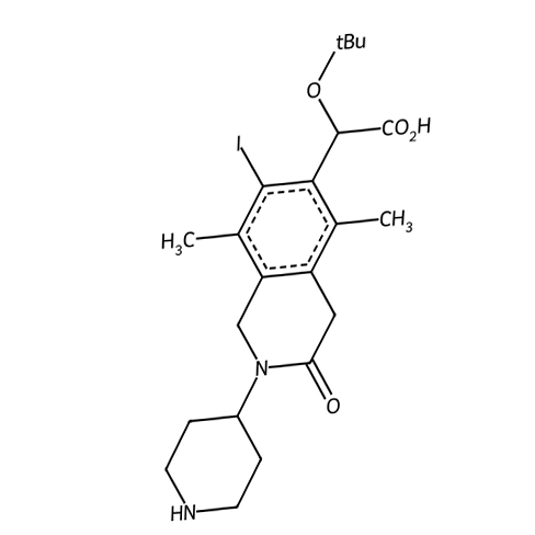 Cc1c(I)c(C(OC(C)(C)C)C(=O)O)c(C)c2c1CN(C1CCNCC1)C(=O)C2